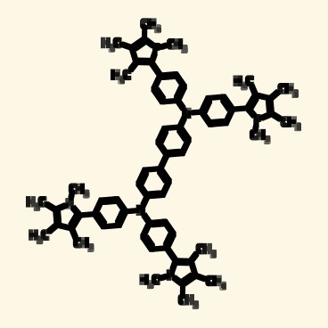 Cc1c(C)c(-c2ccc(N(c3ccc(-c4ccc(N(c5ccc(-c6c(C)c(C)c(C)p6C)cc5)c5ccc(-c6c(C)c(C)c(C)p6C)cc5)cc4)cc3)c3ccc(-c4c(C)c(C)c(C)p4C)cc3)cc2)p(C)c1C